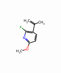 C=C(C)c1ccc(OC)nc1F